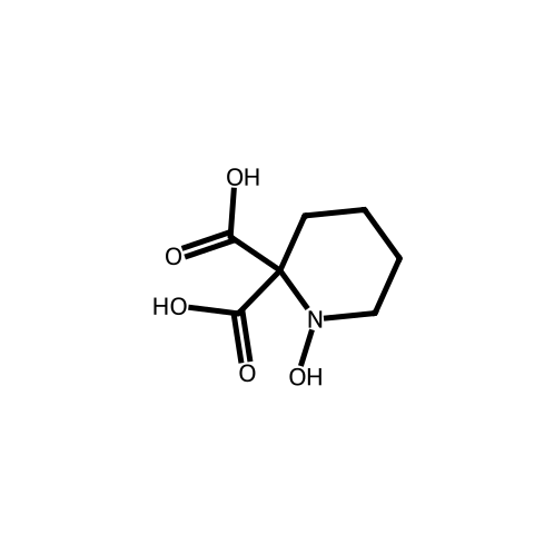 O=C(O)C1(C(=O)O)CCCCN1O